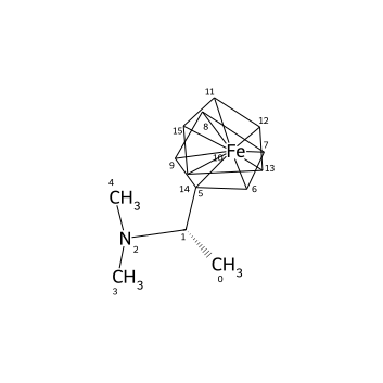 C[C@H](N(C)C)[C]12[CH]3[CH]4[CH]5[CH]1[Fe]45321678[CH]2[CH]1[CH]6[CH]7[CH]28